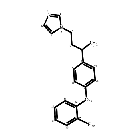 CC(CCn1ccnc1)c1ccc(Oc2ccccc2F)cc1